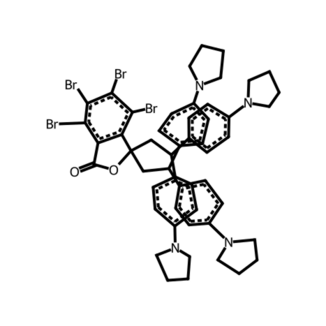 O=C1OC(CC(c2ccc(N3CCCC3)cc2)c2ccc(N3CCCC3)cc2)(CC(c2ccc(N3CCCC3)cc2)c2ccc(N3CCCC3)cc2)c2c(Br)c(Br)c(Br)c(Br)c21